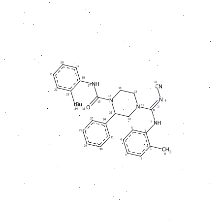 Cc1ccccc1N/C(=N/C#N)N1CCN(C(=O)Nc2ccccc2C(C)(C)C)C(c2ccccc2)C1